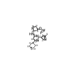 Cn1cc(-c2nc(Nc3cc(OC(F)F)ccn3)cc(C3CCSCC3)n2)cn1